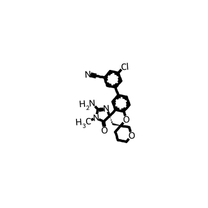 CN1C(=O)[C@@]2(C[C@@]3(CCCOC3)Oc3ccc(-c4cc(Cl)cc(C#N)c4)cc32)N=C1N